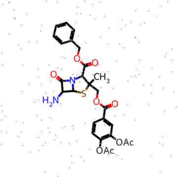 CC(=O)Oc1ccc(C(=O)OCC2(C)SC3C(N)C(=O)N3C2C(=O)OCc2ccccc2)cc1OC(C)=O